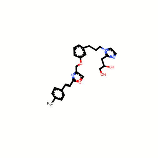 OCC(O)Cc1nccn1CCCc1cccc(OCc2coc(C=Cc3ccc(C(F)(F)F)cc3)n2)c1